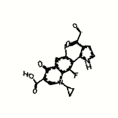 O=[C]C(=O)c1cc[nH]c1-c1c(F)cc2c(=O)c(C(=O)O)cn(C3CC3)c2c1F